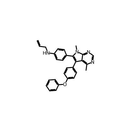 C=CCNc1ccc(-c2c(-c3ccc(Oc4ccccc4)cc3)c3c(C)ncnc3n2C)cc1